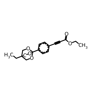 CCOC(=O)C#Cc1ccc(C23OCC(CC)(CO2)CO3)cc1